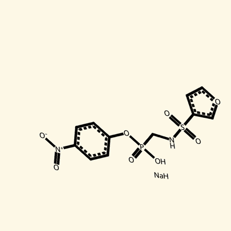 O=[N+]([O-])c1ccc(OP(=O)(O)CNS(=O)(=O)c2ccoc2)cc1.[NaH]